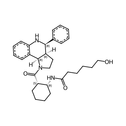 O=C(CCCCCO)N[C@@H]1CCCC[C@@H]1C(=O)N1CC[C@@H]2[C@H](c3ccccc3)Nc3ccccc3[C@@H]21